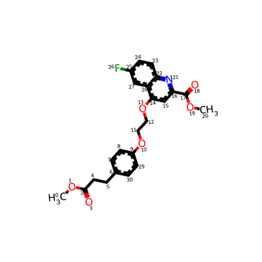 COC(=O)CCc1ccc(OCCOc2cc(C(=O)OC)nc3ccc(F)cc23)cc1